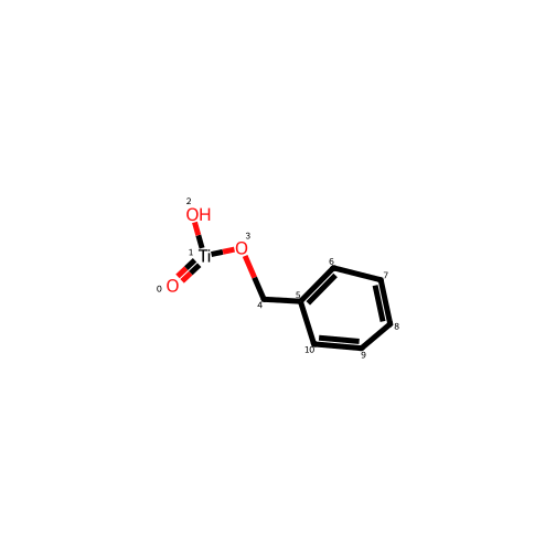 [O]=[Ti]([OH])[O]Cc1ccccc1